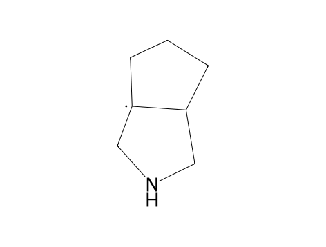 C1C[C]2CNCC2C1